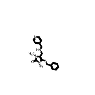 CC(C)n1c(SCc2ccccc2)c(CNCc2ccncc2)n(C)c1=O